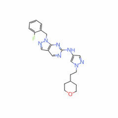 Fc1ccccc1Cn1ncc2cnc(Nc3cnn(CCC4CCOCC4)c3)nc21